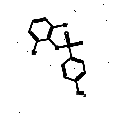 O=[N+]([O-])c1ccc(S(=O)(=O)Oc2c(Br)cccc2Br)cc1